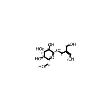 N#C/C=C(/CO)CO[C@@H]1O[C@H](CO)[C@@H](O)[C@H](O)[C@H]1O